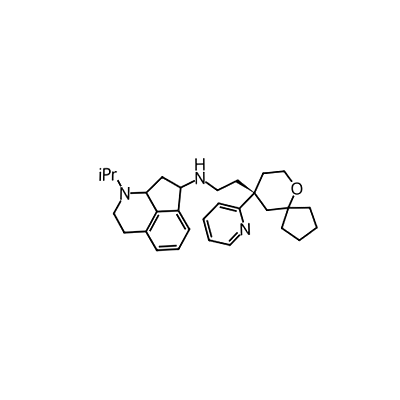 CC(C)N1CCc2cccc3c2C1CC3NCC[C@@]1(c2ccccn2)CCOC2(CCCC2)C1